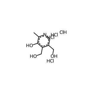 Cc1ncc(CO)c(CO)c1O.Cl.Cl.Cl.Cl